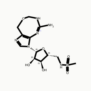 CS(=O)(=O)NC[C@H]1O[C@@H](n2cnc3c2/N=C(/N)NCOC3)[C@H](O)[C@@H]1O